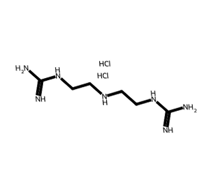 Cl.Cl.N=C(N)NCCNCCNC(=N)N